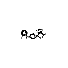 N#CC(c1scnc1C(F)F)N1CCC(Oc2ccccc2F)CC1